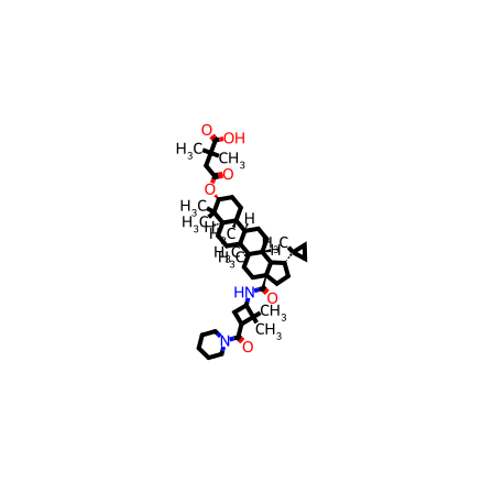 CC(C)(CC(=O)O[C@H]1CC[C@]2(C)[C@H]3CC[C@@H]4C5[C@H](C6(C)CC6)CC[C@]5(C(=O)NC5CC(C(=O)N6CCCCC6)C5(C)C)CC[C@@]4(C)[C@]3(C)CC[C@H]2C1(C)C)C(=O)O